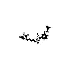 C[C@@H](NS(=O)(=O)CCCCCN1CC(=S)NC1=O)c1ccc(F)c(OCC2CC2)c1